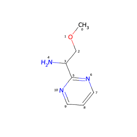 COCC(N)c1ncccn1